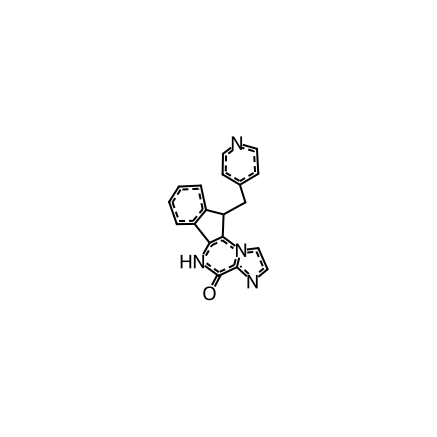 O=c1[nH]c2c(n3ccnc13)C(Cc1ccncc1)c1ccccc1-2